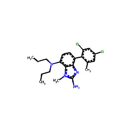 CCCN(CCC)c1ccc(-c2c(C)cc(Cl)cc2Cl)c2nc(N)n(C)c12